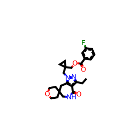 CCc1nn(CC2(COC(=O)c3cccc(F)c3)CC2)c2c1C(=O)NCC1(CCOCC1)C2